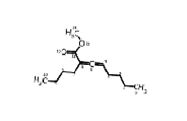 CCCCC=C=C(CCCC)C(=O)OC